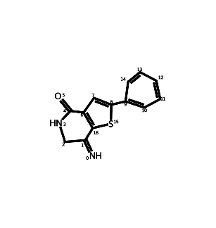 N=C1CNC(=O)c2cc(-c3ccccc3)sc21